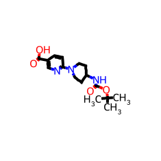 CC(C)(C)OC(=O)NC1CCN(c2ccc(C(=O)O)cn2)CC1